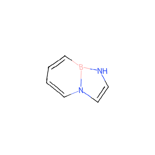 C1=CB2NC=CN2C=C1